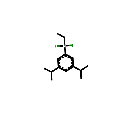 CC[Si](F)(F)c1cc(C(C)C)cc(C(C)C)c1